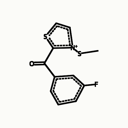 CS[n+]1ccsc1C(=O)c1cccc(F)c1